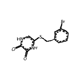 O=c1[nH]cc(SCc2cccc(Br)c2)[nH]c1=O